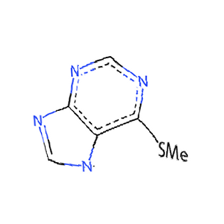 CSc1ncnc2c1[N]C=N2